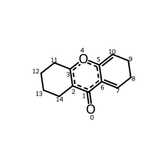 O=c1c2c(oc3c1=CCCC=3)CCCC2